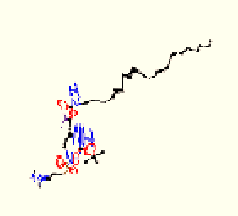 CCCCCCCCCCCCCCCCCCNC(=O)OC(I)C(CNS(=O)(=O)CCC[N+](C)(C)C)NC(=O)OC(C)(C)C